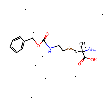 C[C@](N)(CSCCNC(=O)OCc1ccccc1)C(=O)O